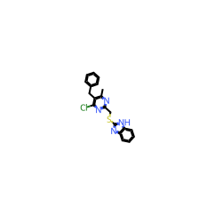 Cc1nc(CSc2nc3ccccc3[nH]2)nc(Cl)c1Cc1ccccc1